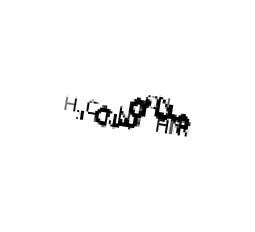 CC1CCN(Cc2ccc3cc(Oc4ccc(-c5ccn[nH]5)cn4)ccc3n2)CC1